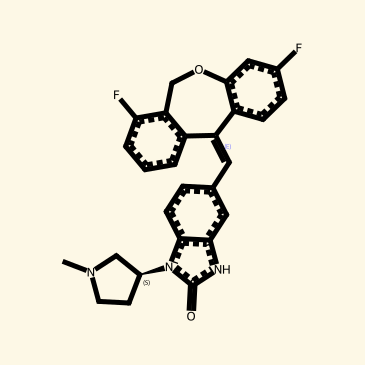 CN1CC[C@H](n2c(=O)[nH]c3cc(/C=C4/c5ccc(F)cc5OCc5c(F)cccc54)ccc32)C1